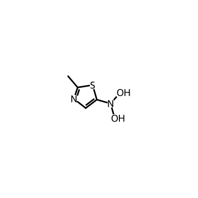 Cc1ncc(N(O)O)s1